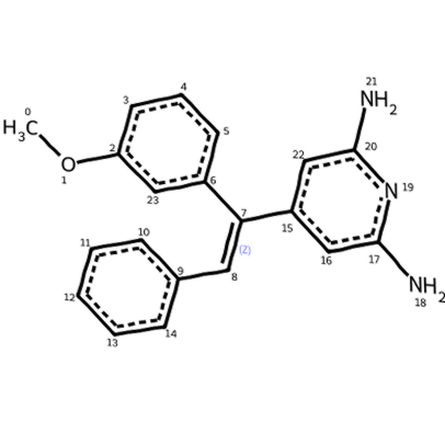 COc1cccc(/C(=C\c2ccccc2)c2cc(N)nc(N)c2)c1